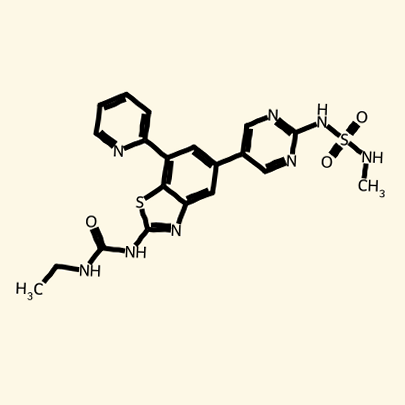 CCNC(=O)Nc1nc2cc(-c3cnc(NS(=O)(=O)NC)nc3)cc(-c3ccccn3)c2s1